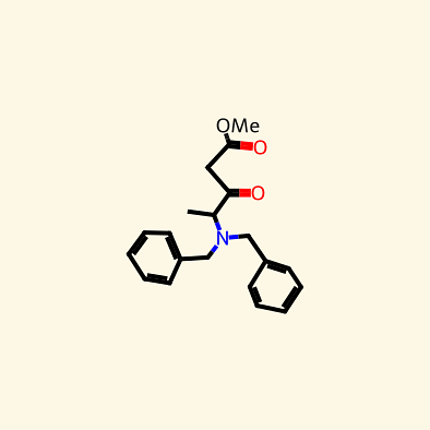 COC(=O)CC(=O)C(C)N(Cc1ccccc1)Cc1ccccc1